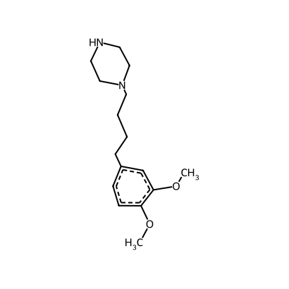 COc1ccc(CCCCN2CCNCC2)cc1OC